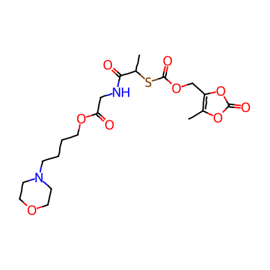 Cc1oc(=O)oc1COC(=O)SC(C)C(=O)NCC(=O)OCCCCN1CCOCC1